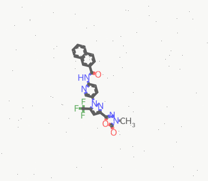 Cn1nc(-c2cc(C(F)(F)F)n(-c3ccc(NC(=O)c4ccc5ccccc5c4)nc3)n2)oc1=O